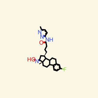 Cc1ccc(NC(=O)CCC[C@@H]2C/C(=N\O)[C@@]3(C)CCC4c5ccc(F)cc5CCC4C23)nn1